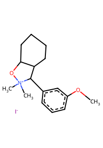 COc1cccc(C2C3CCCCC3O[N+]2(C)C)c1.[I-]